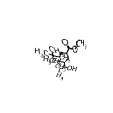 COC(=O)C(CCC(C)(C)C)CC(C(C)O)C(C)(C)C